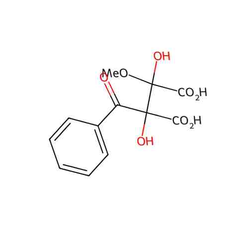 COC(O)(C(=O)O)C(O)(C(=O)O)C(=O)c1ccccc1